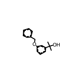 CC(C)(O)c1cccc(OCc2ccccc2)c1